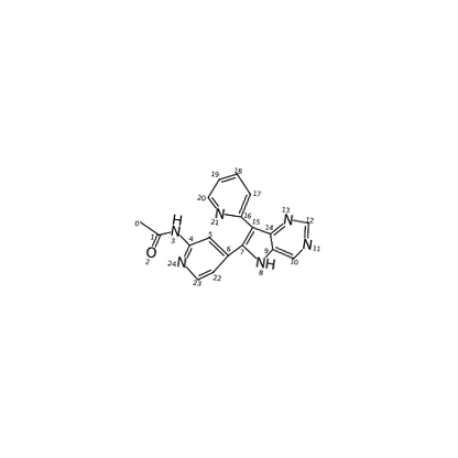 CC(=O)Nc1cc(-c2[nH]c3cncnc3c2-c2ccccn2)ccn1